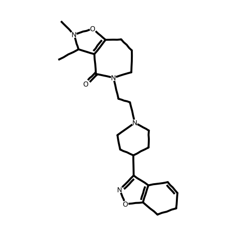 CC1C2=C(CCCN(CCN3CCC(c4noc5c4C=CCC5)CC3)C2=O)ON1C